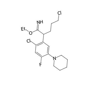 CCOC(=N)C(CCCCl)c1cc(N2CCCCC2)c(F)cc1Cl